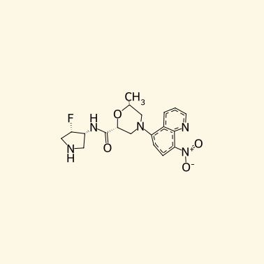 C[C@@H]1CN(c2ccc([N+](=O)[O-])c3ncccc23)C[C@H](C(=O)N[C@@H]2CNC[C@@H]2F)O1